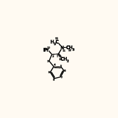 C=C(C(Cc1ccccc1)C(C)C)N(C)C